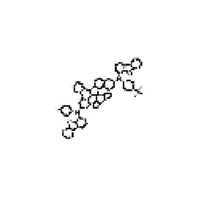 Cc1ccc(N(c2ccc3c4c(c5ccccc5c3c2)-c2ccc3cc(N(c5ccc([Si](C)(C)C)cc5)c5cccc6c5oc5ccccc56)ccc3c2C42c3ccccc3-c3ccccc32)c2cccc3c2oc2ccccc23)cc1